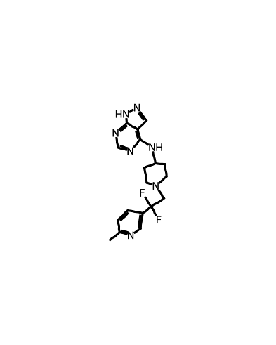 Cc1ccc(C(F)(F)CN2CCC(Nc3ncnc4[nH]ncc34)CC2)cn1